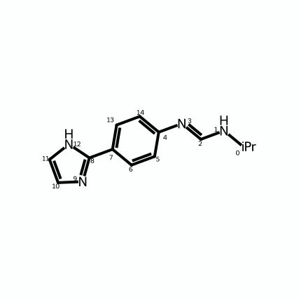 CC(C)NC=Nc1ccc(-c2ncc[nH]2)cc1